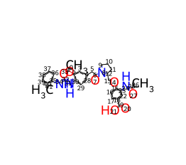 COc1cc(CC(=O)N2CCCC2COc2ccc(C(=O)O)cc2NC(C)=O)ccc1NC(=O)Nc1ccccc1C